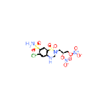 NS(=O)(=O)c1cc2c(cc1Cl)NCN(CC(CO[N+](=O)[O-])O[N+](=O)[O-])S2(=O)=O